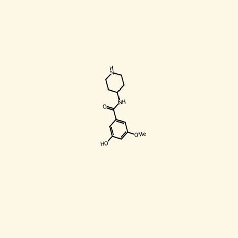 COc1cc(O)cc(C(=O)NC2CCNCC2)c1